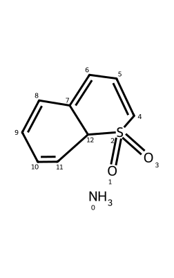 N.O=S1(=O)C=CC=C2C=CC=CC21